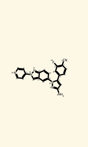 N#Cc1ccc(-c2cc(N)nn2-c2ccc3nn(-c4ccncc4)cc3c2)cc1F